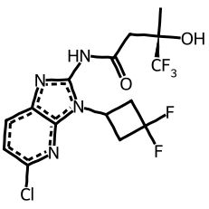 C[C@](O)(CC(=O)Nc1nc2ccc(Cl)nc2n1C1CC(F)(F)C1)C(F)(F)F